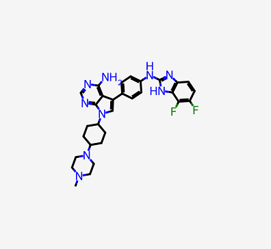 CN1CCN(C2CCC(n3cc(-c4ccc(Nc5nc6ccc(F)c(F)c6[nH]5)cc4)c4c(N)ncnc43)CC2)CC1